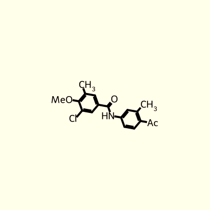 COc1c(C)cc(C(=O)Nc2ccc(C(C)=O)c(C)c2)cc1Cl